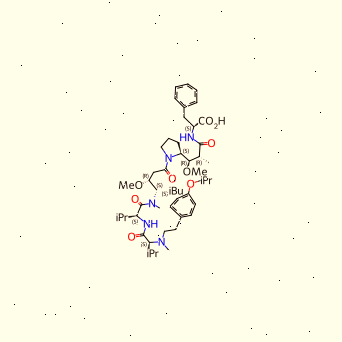 CC[C@H](C)[C@@H]([C@@H](CC(=O)N1CCC[C@H]1[C@H](OC)[C@@H](C)C(=O)N[C@@H](Cc1ccccc1)C(=O)O)OC)N(C)C(=O)[C@@H](NC(=O)[C@H](C(C)C)N(C)CCc1ccc(OC(C)C)cc1)C(C)C